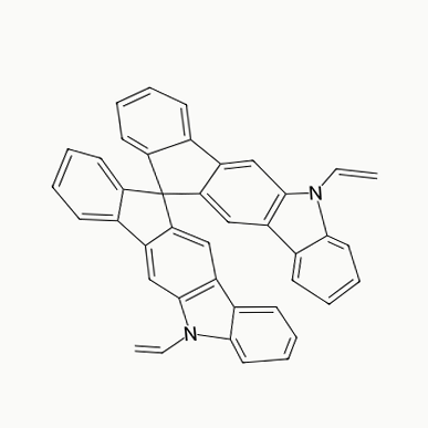 C=Cn1c2ccccc2c2cc3c(cc21)-c1ccccc1C31c2ccccc2-c2cc3c(cc21)c1ccccc1n3C=C